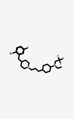 CCN(CC(F)(F)F)C1CCC(CCCN2CCC(Cc3cc(F)ccc3Br)CC2)CC1